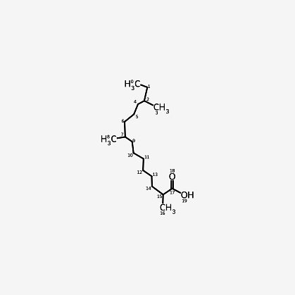 CCC(C)CCCC(C)CCCCCCC(C)C(=O)O